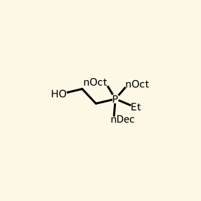 CCCCCCCCCCP(CC)(CCO)(CCCCCCCC)CCCCCCCC